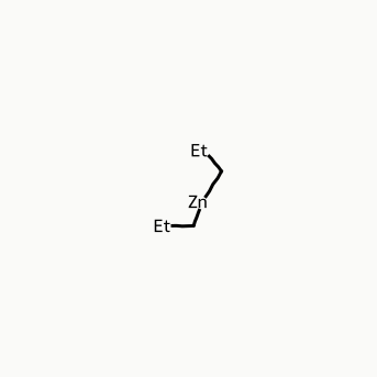 CC[CH2][Zn][CH2]CC